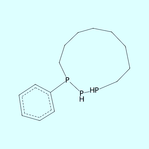 c1ccc(P2CCCCCCCCPP2)cc1